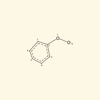 [O]Oc1[c]cccc1